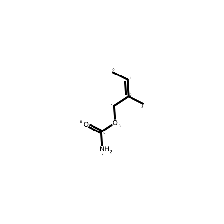 CC=C(C)COC(N)=O